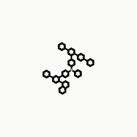 c1ccc(-c2ccc(-c3ccc(-c4ccccc4)cc3-c3ccc(N(c4ccccc4)c4ccc(-c5cc(-c6ccccc6)ccc5-c5cccc6ccccc56)cc4)cc3)cc2)cc1